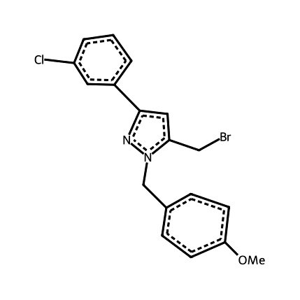 COc1ccc(Cn2nc(-c3cccc(Cl)c3)cc2CBr)cc1